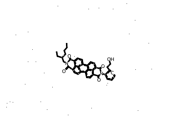 CCCCC(CC)CN1C(=O)c2ccc3c4ccc5c6c(ccc(c7ccc(c2c37)C1=O)c64)C(=O)N(c1ccccc1CCO)C5=O